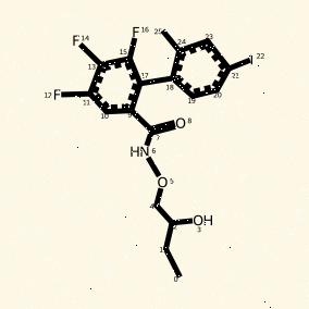 CCC(O)CONC(=O)c1cc(F)c(F)c(F)c1-c1ccc(I)cc1C